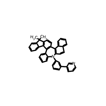 CC1(C)c2ccccc2-c2c1ccc1c2-c2ccccc2N(c2cccc(-c3cccnc3)c2)c2ccc3ccccc3c2-1